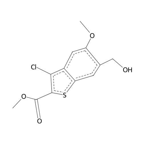 COC(=O)c1sc2cc(CO)c(OC)cc2c1Cl